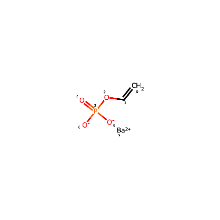 C=COP(=O)([O-])[O-].[Ba+2]